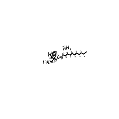 CCCCCCCCCCCCOCC(CO)(CO)CO.N